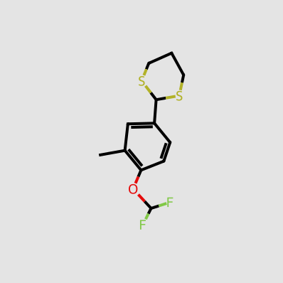 Cc1cc(C2SCCCS2)ccc1OC(F)F